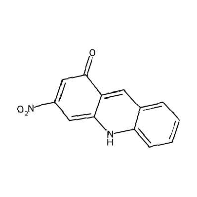 O=c1cc([N+](=O)[O-])cc2[nH]c3ccccc3cc1-2